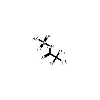 CCC(C)(C)C(=O)NS(C)(=O)=O